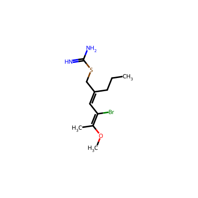 CCC/C(=C\C(Br)=C(/C)OC)CSC(=N)N